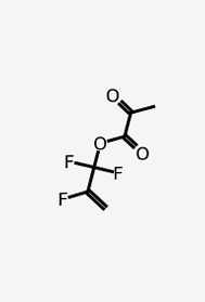 C=C(F)C(F)(F)OC(=O)C(C)=O